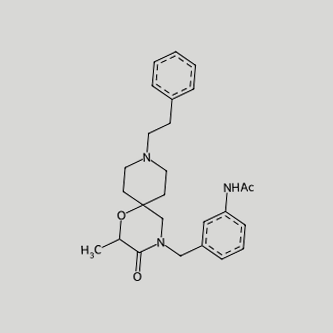 CC(=O)Nc1cccc(CN2CC3(CCN(CCc4ccccc4)CC3)OC(C)C2=O)c1